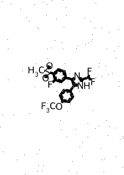 CS(=O)(=O)c1ccc(-c2nc(C(F)F)[nH]c2-c2ccc(OC(F)(F)F)cc2)cc1F